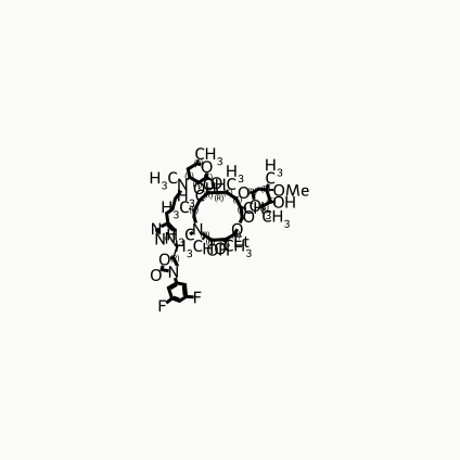 CC[C@H]1OC(=O)[C@H](C)[C@@H](O[C@H]2C[C@@](C)(OC)[C@@H](O)[C@H](C)O2)[C@H](C)[C@@H](O[C@@H]2O[C@H](C)C[C@H](N(C)CCCCc3cn(C[C@H]4CN(c5cc(F)cc(F)c5)C(=O)O4)nn3)[C@H]2O)[C@](C)(O)C[C@@H](C)CN(C)[C@H](C)[C@@H](O)[C@]1(C)O